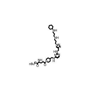 CCCCOC(=O)[C@@H](N)CCC(=O)N1CCC(CNc2ccnc(NCc3cn(CCCNCCCNC4CCCCC4)nn3)n2)CC1